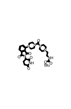 CC(C)(C)OC(=O)NCCN1CCN(C(=O)N2CCN(c3cccc4c3C(=O)N(C3CCC(=O)NC3=O)C4=O)CC2)CC1